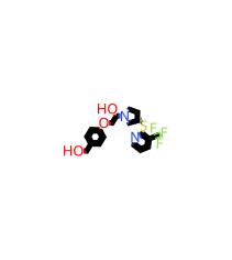 OCc1ccc(OCC(O)N2CC[C@@H](Sc3ncccc3C(F)(F)F)C2)cc1